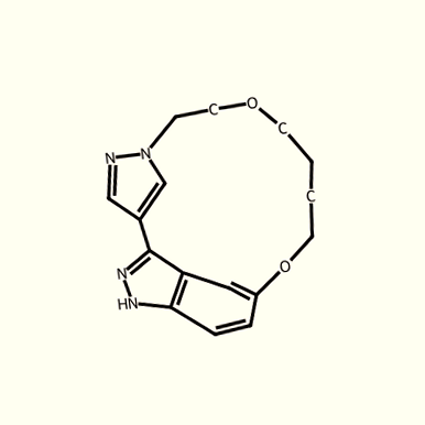 c1cc2[nH]nc3c2cc1OCCCCOCCn1cc-3cn1